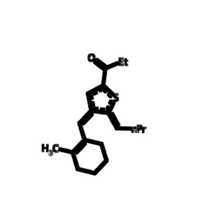 CCC/C=c1\sc(C(=O)CC)c\c1=C\C1=C(C)CCCC1